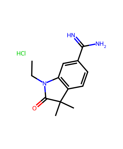 CCN1C(=O)C(C)(C)c2ccc(C(=N)N)cc21.Cl